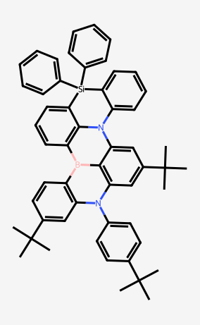 CC(C)(C)c1ccc(N2c3cc(C(C)(C)C)ccc3B3c4cccc5c4N(c4ccccc4[Si]5(c4ccccc4)c4ccccc4)c4cc(C(C)(C)C)cc2c43)cc1